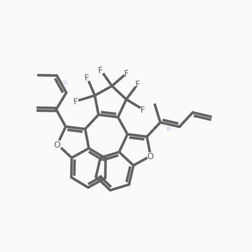 C=C/C=C(\C)c1oc2ccccc2c1C1=C(c2c(C(=C)/C=C\C)oc3ccccc23)C(F)(F)C(F)(F)C1(F)F